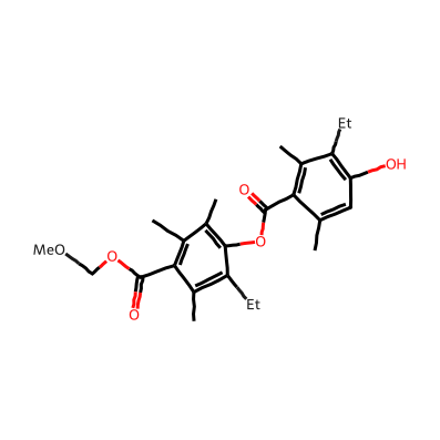 CCc1c(O)cc(C)c(C(=O)Oc2c(C)c(C)c(C(=O)OCOC)c(C)c2CC)c1C